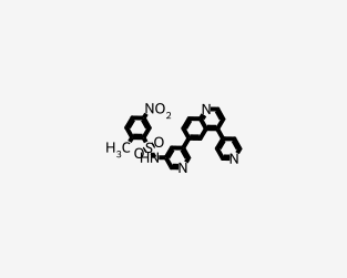 Cc1ccc([N+](=O)[O-])cc1S(=O)(=O)Nc1cncc(-c2ccc3nccc(-c4ccncc4)c3c2)c1